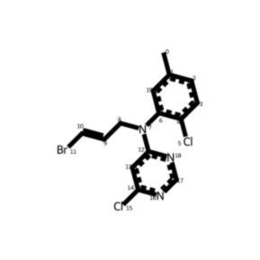 Cc1ccc(Cl)c(N(CC=CBr)c2cc(Cl)ncn2)c1